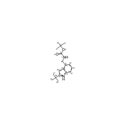 CC(C)(C)OC(=O)NCc1cccc2[nH]c(C(C)(C)C)cc12